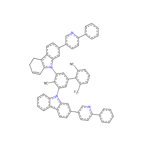 N#Cc1cccc(C(F)(F)F)c1-c1cc(-n2c3c(c4ccc(-c5ccc(-c6ccccc6)nc5)cc42)CCC=C3)c(C#N)c(-n2c3ccccc3c3ccc(-c4ccc(-c5ccccc5)nc4)cc32)c1